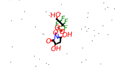 O=C1C(O)CC(O)N1OS(=O)(=O)C(F)(F)C(F)(F)CO